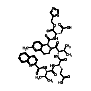 Cc1ccc2c(c1)CCN(C(=O)[C@@H](NC(=O)[C@H](CCC(=O)O)NC(=O)[C@@H](NC(=O)c1ccc3ccccc3n1)C(C)C)C(C)C)[C@@H]2C(=O)N[C@@H](CC(=O)O)C(=O)OCc1cncs1